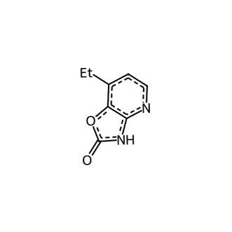 CCc1ccnc2[nH]c(=O)oc12